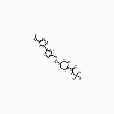 COc1cc(-c2nc(COC3CCN(C(=O)OC(C)(C)C)CC3)no2)on1